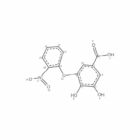 O=C(O)c1cc(O)c(O)c(Oc2ccccc2[N+](=O)[O-])c1